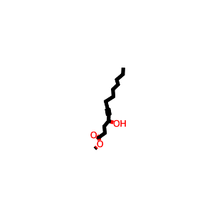 CCCCCCCC#CC(O)CCC(=O)OC